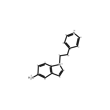 Nc1ccc2c(ccn2CCc2ccncc2)c1